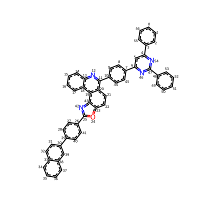 c1ccc(-c2cc(-c3ccc(-c4nc5ccccc5c5c4ccc4oc(-c6ccc(-c7ccc8ccccc8c7)cc6)nc45)cc3)nc(-c3ccccc3)n2)cc1